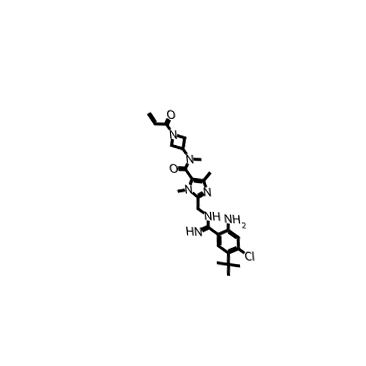 C=CC(=O)N1CC(N(C)C(=O)c2c(C)nc(CNC(=N)c3cc(C(C)(C)C)c(Cl)cc3N)n2C)C1